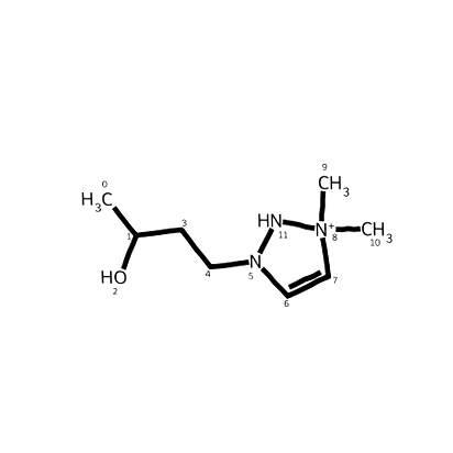 CC(O)CCN1C=C[N+](C)(C)N1